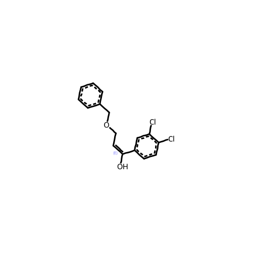 O/C(=C/COCc1ccccc1)c1ccc(Cl)c(Cl)c1